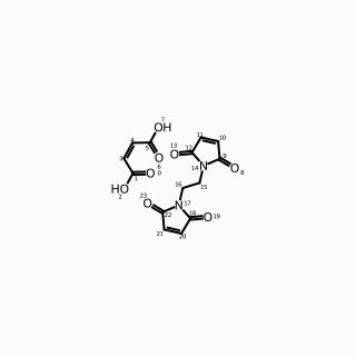 O=C(O)/C=C\C(=O)O.O=C1C=CC(=O)N1CCN1C(=O)C=CC1=O